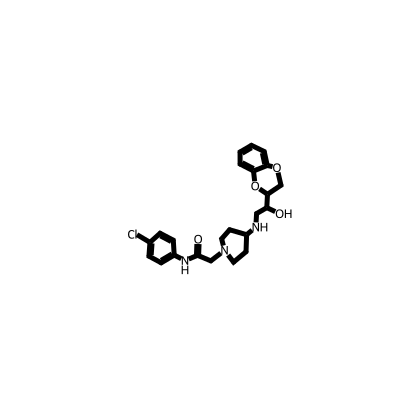 O=C(CN1CCC(NCC(O)C2COc3ccccc3O2)CC1)Nc1ccc(Cl)cc1